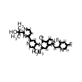 Cc1cnc(-c2ccnc(C(C)(C)O)n2)cc1-n1c(C)cc2c(cnn2Cc2ncc(F)cc2F)c1=O